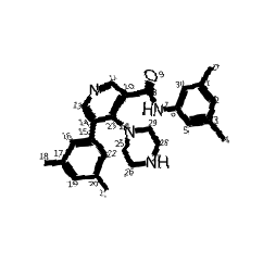 Cc1cc(C)cc(NC(=O)c2cncc(-c3cc(C)cc(C)c3)c2N2CCNCC2)c1